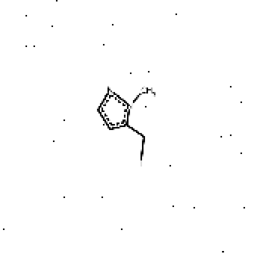 Cn1nccc1CI